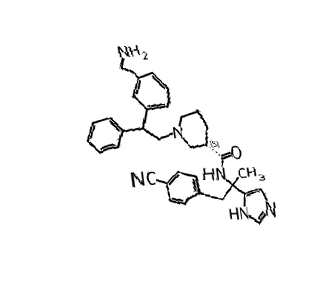 CC(Cc1ccc(C#N)cc1)(NC(=O)[C@H]1CCCN(CC(c2ccccc2)c2cccc(CN)c2)C1)c1cnc[nH]1